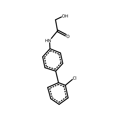 O=C(CO)Nc1ccc(-c2ccccc2Cl)cc1